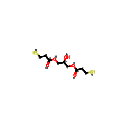 O=C(CCS)OCC(O)COC(=O)CCS